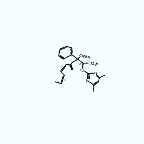 C=C(/C=C\C=C/C)C(OC)(c1ccccc1)[C@H](Oc1nc(C)cc(C)n1)C(=O)O